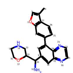 Cc1coc2cc(-c3cc(C(N)C4CNCCO4)cc4nccnc34)ccc12